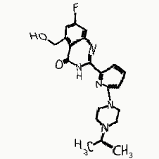 CC(C)N1CCN(c2cccc(-c3nc4cc(F)cc(CO)c4c(=O)[nH]3)n2)CC1